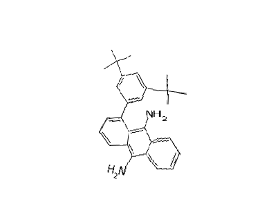 CC(C)(C)c1cc(-c2cccc3c(N)c4ccccc4c(N)c23)cc(C(C)(C)C)c1